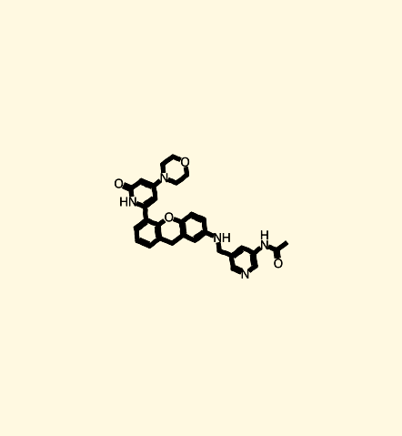 CC(=O)Nc1cncc(CNc2ccc3c(c2)Cc2cccc(-c4cc(N5CCOCC5)cc(=O)[nH]4)c2O3)c1